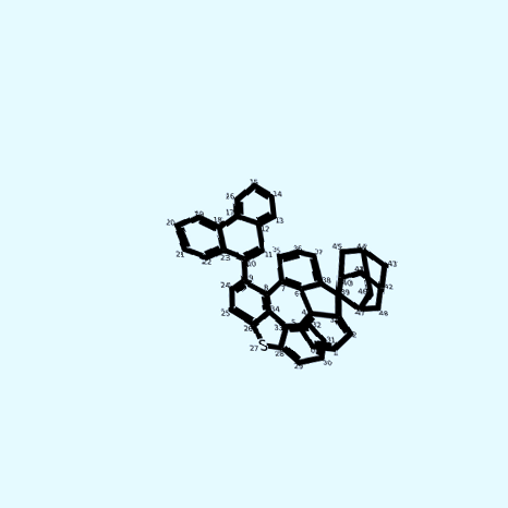 c1ccc2c(c1)-c1c(-c3c(-c4cc5ccccc5c5ccccc45)ccc4sc5ccccc5c34)cccc1C21C2CC3CC(C2)CC1C3